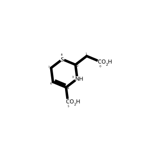 O=C(O)CC1NC(C(=O)O)=CCS1